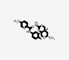 Cc1ccc(C(=O)Nc2ccc(F)c([C@]34CO[C@@H](C)C[C@@]3(F)CSC(N)=N4)c2)nc1